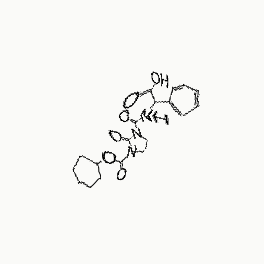 O=C(O)C(NC(=O)N1CCN(C(=O)OC2CCCCC2)C1=O)c1ccccc1